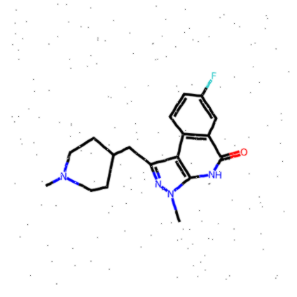 CN1CCC(Cc2nn(C)c3[nH]c(=O)c4cc(F)ccc4c23)CC1